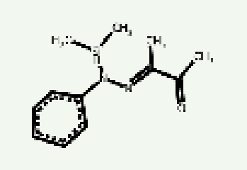 CC(=O)C(C)=NN(c1ccccc1)[SiH](C)C